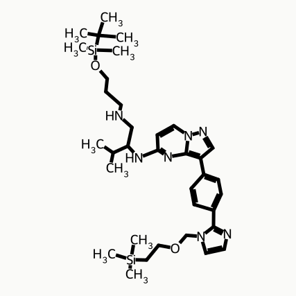 CC(C)C(CNCCCO[Si](C)(C)C(C)(C)C)Nc1ccn2ncc(-c3ccc(-c4nccn4COCC[Si](C)(C)C)cc3)c2n1